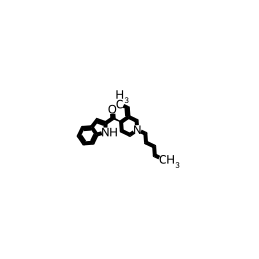 C/C=C1/CN(CCCCC)CC[C@H]1C(=O)c1cc2ccccc2[nH]1